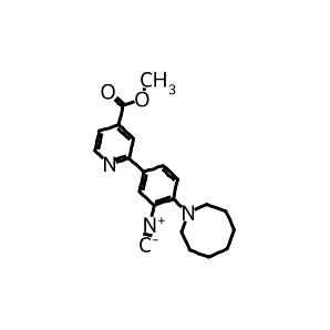 [C-]#[N+]c1cc(-c2cc(C(=O)OC)ccn2)ccc1N1CCCCCCC1